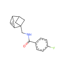 O=C(NCC12CC(C1)C1C=C2C1)c1ccc(F)cc1